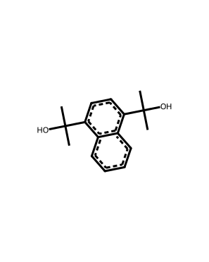 CC(C)(O)c1ccc(C(C)(C)O)c2ccccc12